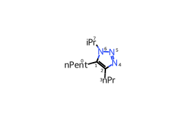 CCCCCc1c(CCC)nnn1C(C)C